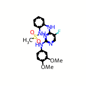 COc1ccc(Nc2ncc(F)c(Nc3ccccc3NS(C)(=O)=O)n2)cc1OC